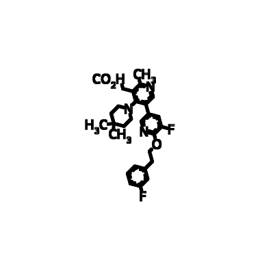 Cc1ncc(-c2cnc(OCCc3cccc(F)c3)c(F)c2)c(N2CCC(C)(C)CC2)c1CC(=O)O